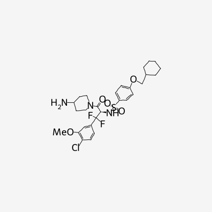 COc1cc(C(F)(F)[C@H](NS(=O)(=O)c2ccc(OCC3CCCCC3)cc2)C(=O)N2CCC(N)CC2)ccc1Cl